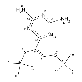 CC(C)(C)S/C=C(/SC(C)(C)C)c1nc(N)nc(N)n1